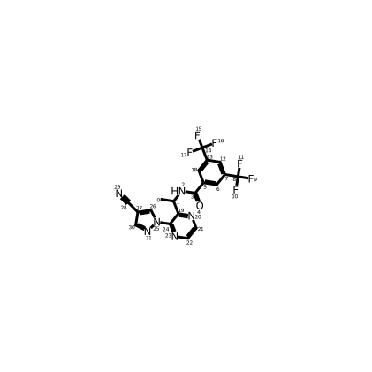 CC(NC(=O)c1cc(C(F)(F)F)cc(C(F)(F)F)c1)c1nccnc1-n1cc(C#N)cn1